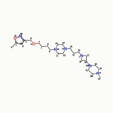 Cc1cc(COCCCCN2CCN(CCCN3CC(N4CCN(C)CC4)C3)CC2)no1